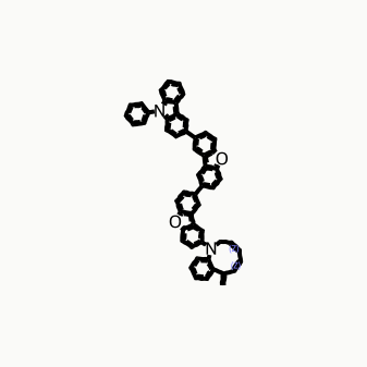 C=C1/C=C\C=C/CN(c2ccc3oc4ccc(-c5ccc6oc7ccc(-c8ccc9c(c8)c8ccccc8n9-c8ccccc8)cc7c6c5)cc4c3c2)c2ccccc21